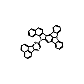 c1cc2c3c(cccc3c1)-c1nc(-n3c4cc5c6ccccc6n6c7ccccc7c(c4c4ccc7ccccc7c43)c56)cnc1-2